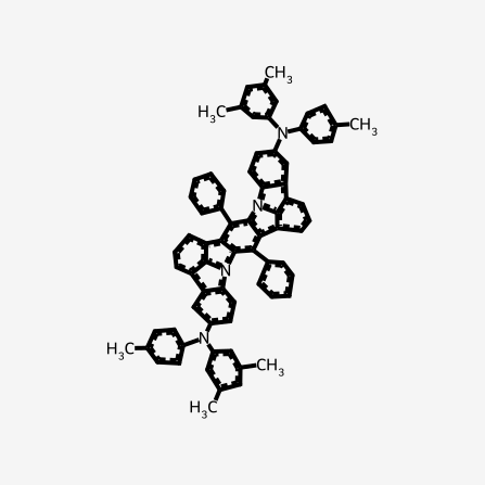 Cc1ccc(N(c2cc(C)cc(C)c2)c2ccc3c(c2)c2cccc4c5c(-c6ccccc6)c6c(c(-c7ccccc7)c5n3c24)c2cccc3c4cc(N(c5ccc(C)cc5)c5cc(C)cc(C)c5)ccc4n6c32)cc1